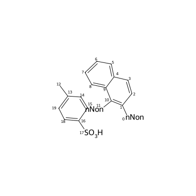 CCCCCCCCCc1ccc2ccccc2c1CCCCCCCCC.Cc1ccc(S(=O)(=O)O)cc1